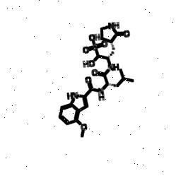 COc1cccc2[nH]c(C(=O)N[C@@H](CC(C)C)C(=O)N[C@@H](C[C@@H]3CCNC3=O)C(O)S(=O)(=O)O)cc12